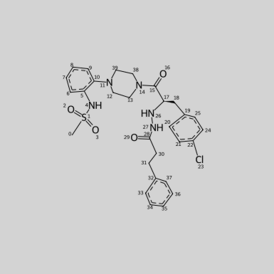 CS(=O)(=O)Nc1ccccc1N1CCN(C(=O)[C@@H](Cc2ccc(Cl)cc2)NNC(=O)CCc2ccccc2)CC1